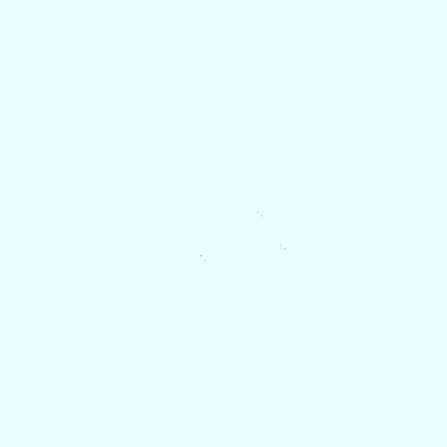 O=[N+]([O-])c1cc(Cl)c(NCC(O)CO)cc1NCC(O)CO